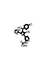 COC(=O)Nc1cc(-c2sc(-c3nnc[nH]3)c(C(O)c3ccc(Cl)cc3)c2C#N)ccn1